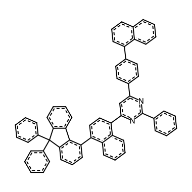 c1ccc(-c2nc(-c3ccc(-c4cccc5ccccc45)cc3)cc(-c3ccc(-c4cccc5c4-c4ccccc4C5(c4ccccc4)c4ccccc4)c4ccccc34)n2)cc1